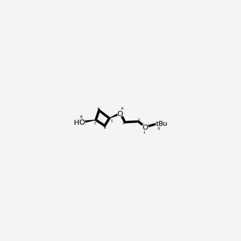 CC(C)(C)OCCO[C@H]1C[C@@H](O)C1